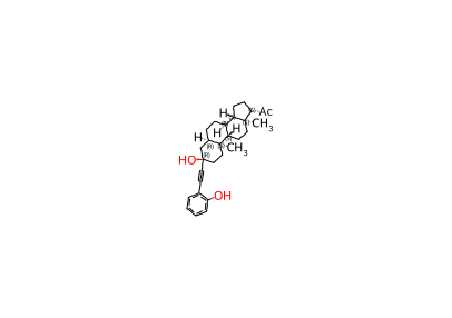 CC(=O)[C@H]1CC[C@H]2[C@@H]3CC[C@@H]4C[C@@](O)(C#Cc5ccccc5O)CC[C@]4(C)[C@H]3CC[C@]12C